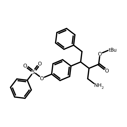 CC(C)(C)OC(=O)C(CN)C(Cc1ccccc1)c1ccc(OS(=O)(=O)c2ccccc2)cc1